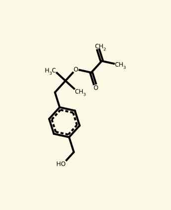 C=C(C)C(=O)OC(C)(C)Cc1ccc(CO)cc1